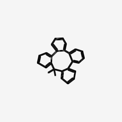 CC1(C)c2ccccc2-c2ccccc2-c2ccccc2-c2ccccc21